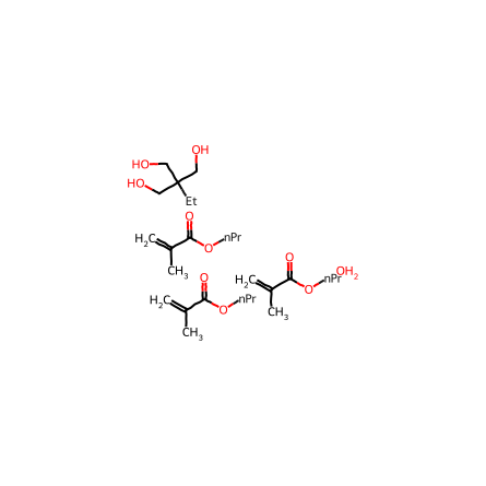 C=C(C)C(=O)OCCC.C=C(C)C(=O)OCCC.C=C(C)C(=O)OCCC.CCC(CO)(CO)CO.O